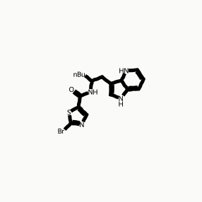 CCCCC(CC1=CNC2=CC=CNC12)NC(=O)c1cnc(Br)s1